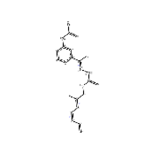 C=C/C=C\C=C(/C)CSC(=C)N/N=C(\C)c1cccc(NC(=C)CC)c1